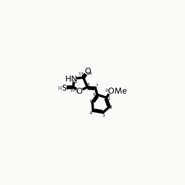 COc1ccccc1/C=C1\OC(=S)NC1=O